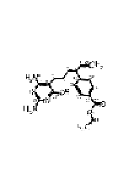 C=CC(CCCc1c(N)nc(N)nc1O)c1ccc(C(=O)OCC)cc1